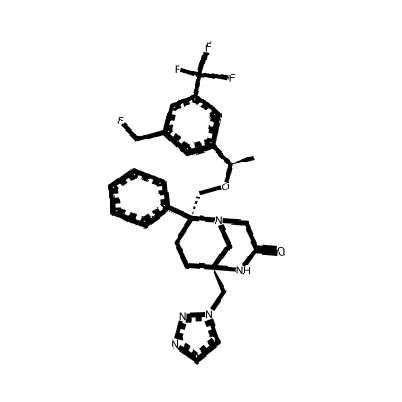 C[C@@H](OC[C@@]1(c2ccccc2)CC[C@]2(Cn3ccnn3)CN1CC(=O)N2)c1cc(CF)cc(C(F)(F)F)c1